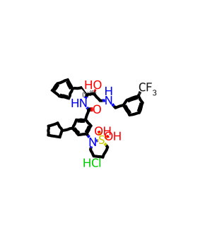 Cl.O=C(N[C@@H](Cc1ccccc1)[C@@H](O)CNCc1cccc(C(F)(F)F)c1)c1cc(C2CCCC2)cc(N2CCCCS2(O)O)c1